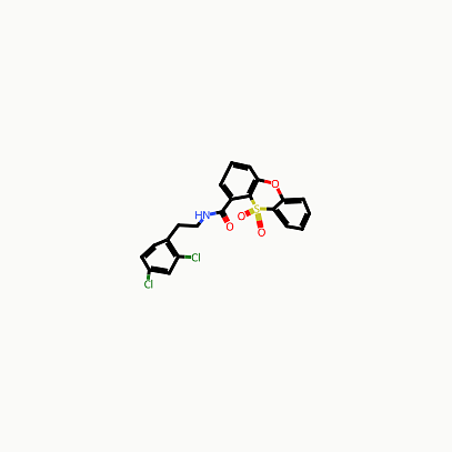 O=C(NCCc1ccc(Cl)cc1Cl)c1cccc2c1S(=O)(=O)c1ccccc1O2